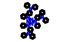 c1ccc(N(c2ccccc2)c2ccc3c(c2)c2ccccc2n3-c2nc(N(c3ccccc3)c3ccc4c5ccccc5n(-c5ccccc5)c4c3)nc(N(c3ccccc3)c3ccc4c5ccccc5n(-c5ccccc5)c4c3)n2)cc1